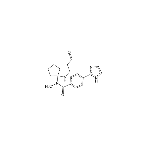 CN(C(=O)c1ccc(-c2ncc[nH]2)cc1)C1(NCCC=O)CCCC1